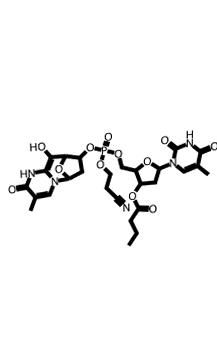 CCCC(=O)OC1CC(n2cc(C)c(=O)[nH]c2=O)OC1COP(=O)(OCCC#N)OC1CC2OC1C(O)=C1NC(=O)C(C)=CN12